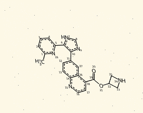 Cc1cccc(-c2[nH]cnc2-c2ccc3nccc(C(=O)OC4CNC4)c3c2)n1